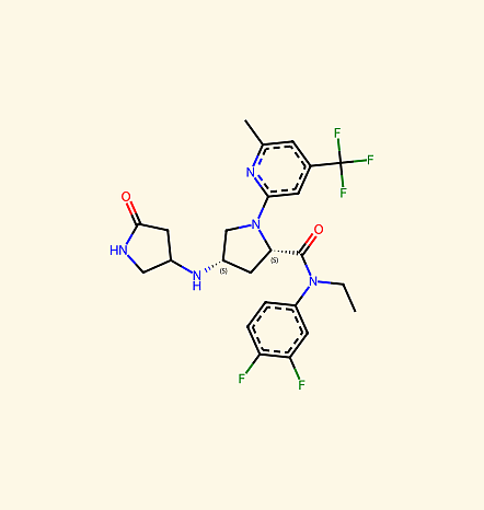 CCN(C(=O)[C@@H]1C[C@H](NC2CNC(=O)C2)CN1c1cc(C(F)(F)F)cc(C)n1)c1ccc(F)c(F)c1